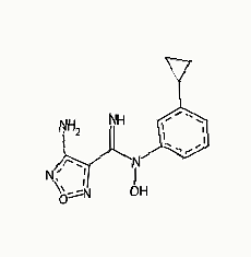 N=C(c1nonc1N)N(O)c1cccc(C2CC2)c1